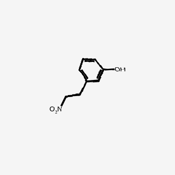 O=[N+]([O-])CCc1cccc(O)c1